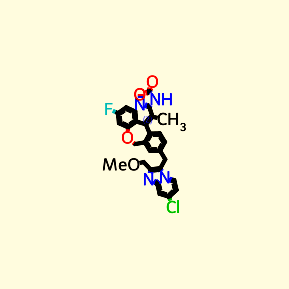 COCc1nc2cc(Cl)ccn2c1Cc1ccc2c(c1)COc1cc(F)ccc1/C2=C(/C)c1noc(=O)[nH]1